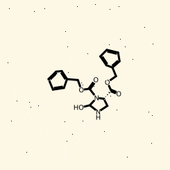 O=C(OCc1ccccc1)[C@@H]1CNC(O)N1C(=O)OCc1ccccc1